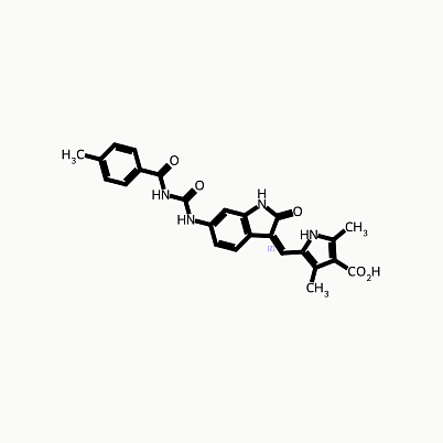 Cc1ccc(C(=O)NC(=O)Nc2ccc3c(c2)NC(=O)/C3=C\c2[nH]c(C)c(C(=O)O)c2C)cc1